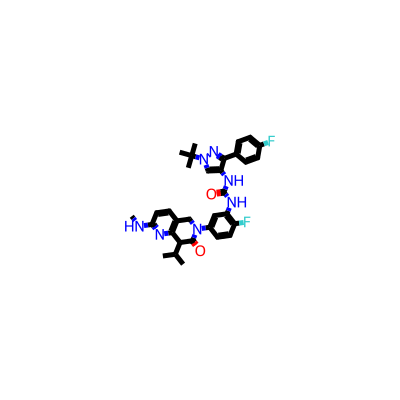 CNc1ccc2c(n1)C(C(C)C)C(=O)N(c1ccc(F)c(NC(=O)Nc3cn(C(C)(C)C)nc3-c3ccc(F)cc3)c1)C2